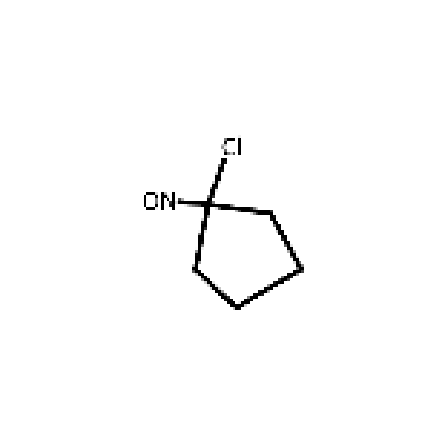 O=NC1(Cl)CCCC1